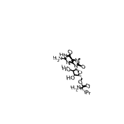 CC(C)[C@H](N)C(=O)OC[C@H]1O[C@@H](n2c(=O)n(C)c3c(=O)[nH]c(N)nc32)C(O)[C@@H]1O